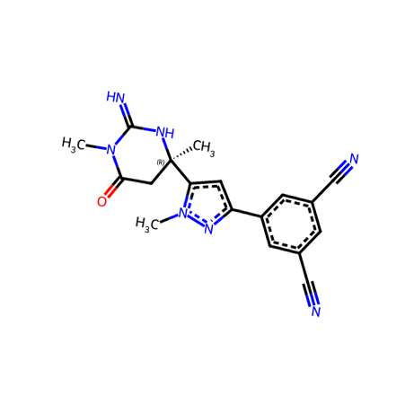 CN1C(=N)N[C@@](C)(c2cc(-c3cc(C#N)cc(C#N)c3)nn2C)CC1=O